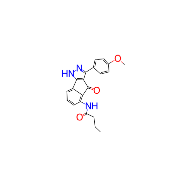 CCCC(=O)Nc1cccc2c1C(=O)c1c(-c3ccc(OC)cc3)n[nH]c1-2